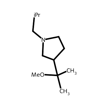 COC(C)(C)C1CCN(CC(C)C)C1